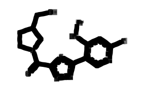 CC(C)Nc1cc(Cl)ncc1-c1nnc(C(=O)N2CCC(CO)C2)s1